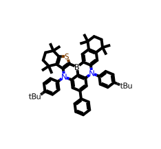 CC(C)(C)c1ccc(N2c3cc4c(cc3B3c5sc6c(c5N(c5ccc(C(C)(C)C)cc5)c5cc(-c7ccccc7)cc2c53)C(C)(C)CCC6(C)C)C(C)(C)CCC4(C)C)cc1